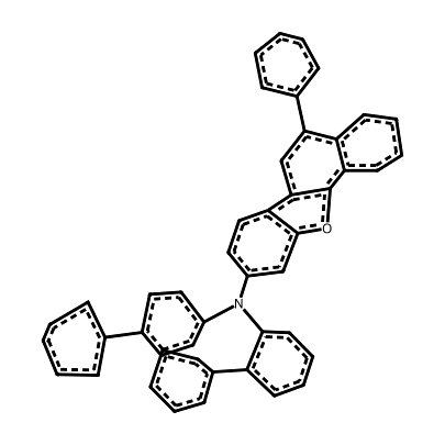 c1ccc(-c2ccc(N(c3ccc4c(c3)oc3c5ccccc5c(-c5ccccc5)cc43)c3ccccc3-c3ccccc3)cc2)cc1